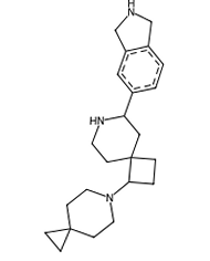 c1cc2c(cc1C1CC3(CCN1)CCC3N1CCC3(CC1)CC3)CNC2